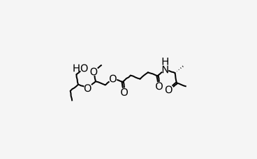 CCC(CO)OC(COC(=O)CCCC(=O)N[C@H](C)C(C)=O)OC